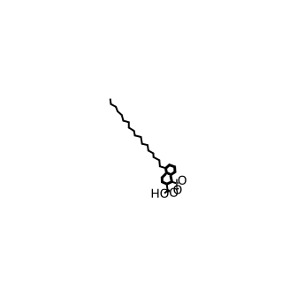 CCCCCCCCCCCCCCCCCCc1cccc2c(I(=O)=O)c(C(=O)O)ccc12